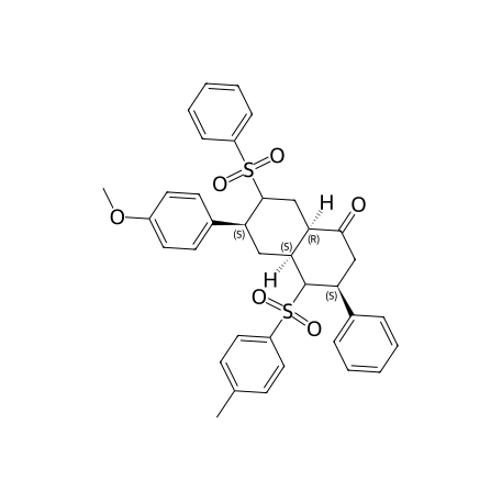 COc1ccc([C@@H]2C[C@@H]3C(S(=O)(=O)c4ccc(C)cc4)[C@H](c4ccccc4)CC(=O)[C@@H]3CC2S(=O)(=O)c2ccccc2)cc1